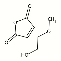 COCCO.O=C1C=CC(=O)O1